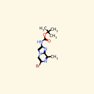 Cc1nc(Br)cn2cc(NC(=O)OC(C)(C)C)nc12